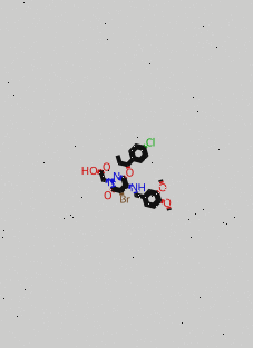 CCC(Oc1nn(CC(=O)O)c(=O)c(Br)c1NCc1ccc(OC)c(OC)c1)c1ccc(Cl)cc1